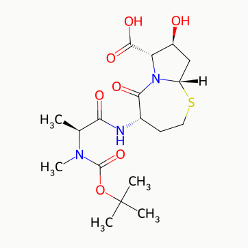 C[C@@H](C(=O)N[C@H]1CCS[C@H]2C[C@H](O)[C@@H](C(=O)O)N2C1=O)N(C)C(=O)OC(C)(C)C